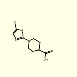 O=C(O)N1CCN(c2ncc(Cl)s2)CC1